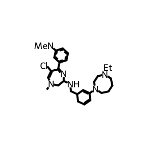 CCN1CCCCN(C2=CC(CNC3CN(C)C=C(Cl)C(c4cccc(NC)c4)=N3)CC=C2)CC1